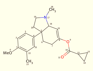 COc1ccc(C23CCC(OC(=O)C4CC4)=CC2N(C)CC3)cc1C